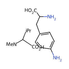 CNC(C(=O)O)C(C)C.Nc1ccc(CC(N)C(=O)O)cc1